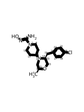 C[C@H]1CN(C2CCN(C(N)=NO)CC2)[C@@H](Cc2ccc(Cl)cc2)CO1